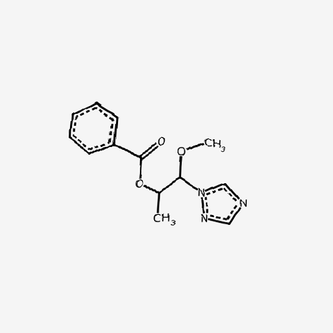 COC(C(C)OC(=O)c1ccccc1)n1cncn1